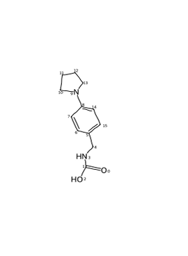 O=C(O)NCc1ccc(N2CCCC2)cc1